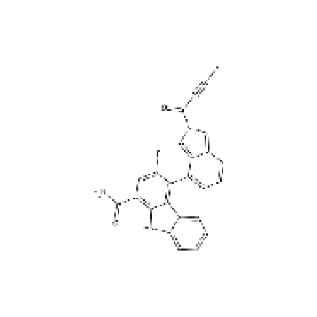 CC#CC(=O)n1cc2cccc(-c3c(F)cc(C(N)=O)c4[nH]c5ccccc5c34)c2c1